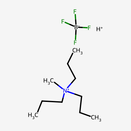 CCC[N+](C)(CCC)CCC.F[B-](F)(F)F.[H+]